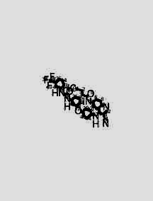 C#CCCC(=O)Nc1ccc2ncc(C#N)c(Nc3ccc(Oc4cccc(NC(=O)Nc5cccc(C(F)(F)F)c5)c4)cc3)c2c1